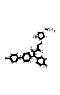 NC[C@H]1CN[C@H](CCC(=O)c2[nH]c3cc(-c4ccc(F)cc4)ccc3c2-c2ccc(F)cc2)C1